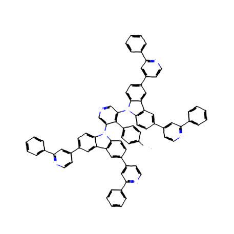 N#Cc1ccc(-c2c(-n3c4ccc(-c5ccnc(-c6ccccc6)c5)cc4c4cc(-c5ccnc(-c6ccccc6)c5)ccc43)cncc2-n2c3ccc(-c4ccnc(-c5ccccc5)c4)cc3c3cc(-c4ccnc(-c5ccccc5)c4)ccc32)cc1